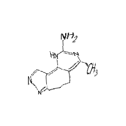 CC1=C2CCC3=NN=CC3=C2NC(N)=N1